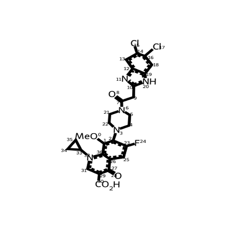 COc1c(N2CCN(C(=O)Cc3nc4cc(Cl)c(Cl)cc4[nH]3)CC2)c(F)cc2c(=O)c(C(=O)O)cn(C3CC3)c12